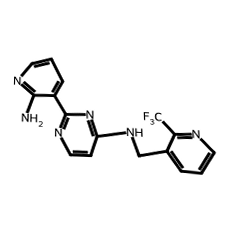 Nc1ncccc1-c1nccc(NCc2cccnc2C(F)(F)F)n1